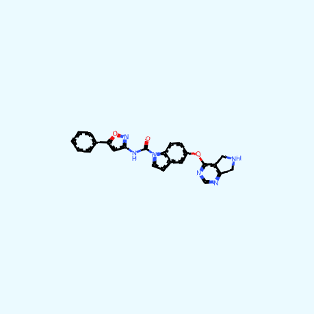 O=C(Nc1cc(-c2ccccc2)on1)n1ccc2cc(Oc3ncnc4c3CNC4)ccc21